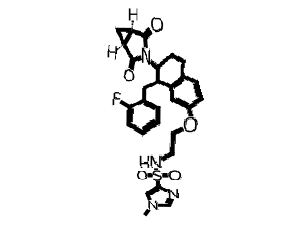 Cn1cnc(S(=O)(=O)NCCOc2ccc3c(c2)C(Cc2ccccc2F)C(N2C(=O)[C@H]4C[C@H]4C2=O)CC3)c1